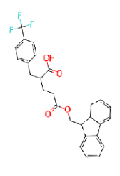 O=C(CCC(Cc1ccc(C(F)(F)F)cc1)C(=O)O)OCC1c2ccccc2C2=CC=CCC21